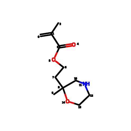 C=C(C)C(=O)OCCC1(C)CNCCO1